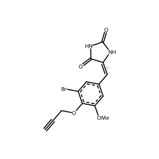 C#CCOc1c(Br)cc(/C=C2/NC(=O)NC2=O)cc1OC